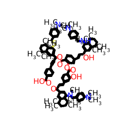 CN(C)c1ccc(CNc2cc(C(O)C=Cc3ccc(C(=O)OC(C#Cc4ccc(C(=O)O)cc4)c4cc(SCc5ccc(N(C)C)cc5)c5c(c4)C(C)(C)CCC5(C)C)c(OC(=O)c4ccc(C=CC(=O)c5cc(N(C)Cc6ccc(N(C)C)cc6)c6c(c5)C(C)(C)CCC6(C)C)cc4O)c3)cc3c2C(C)(C)CCC3(C)C)cc1